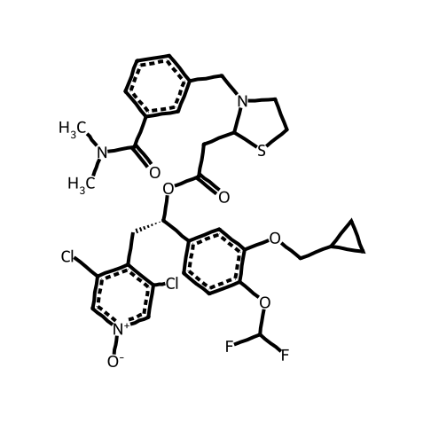 CN(C)C(=O)c1cccc(CN2CCSC2CC(=O)O[C@@H](Cc2c(Cl)c[n+]([O-])cc2Cl)c2ccc(OC(F)F)c(OCC3CC3)c2)c1